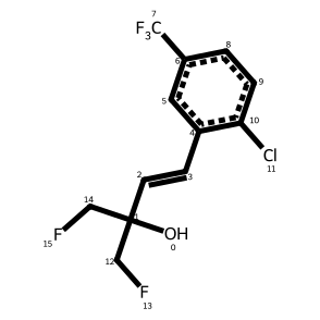 OC(C=Cc1cc(C(F)(F)F)ccc1Cl)(CF)CF